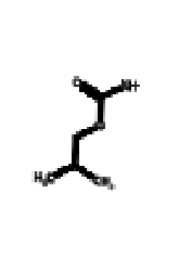 CC(C)COC([NH])=O